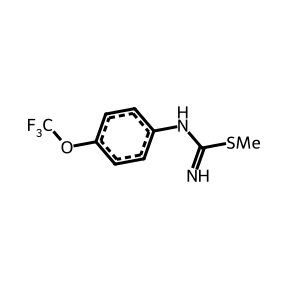 CSC(=N)Nc1ccc(OC(F)(F)F)cc1